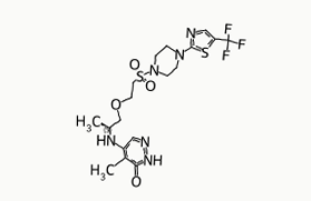 Cc1c(N[C@@H](C)COCCS(=O)(=O)N2CCN(c3ncc(C(F)(F)F)s3)CC2)cn[nH]c1=O